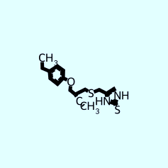 CCc1ccc(OCC(CC)CSCc2c[nH]c(=S)[nH]2)cc1